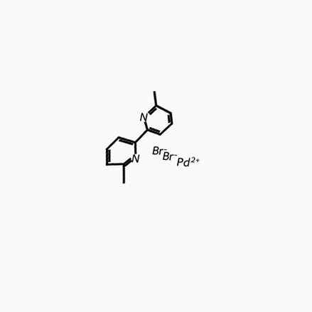 Cc1cccc(-c2cccc(C)n2)n1.[Br-].[Br-].[Pd+2]